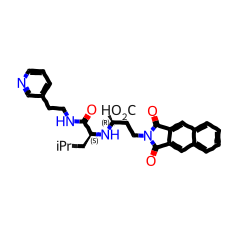 CC(C)C[C@H](N[C@H](CCN1C(=O)c2cc3ccccc3cc2C1=O)C(=O)O)C(=O)NCCc1cccnc1